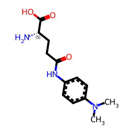 CN(C)c1ccc(NC(=O)CC[C@H](N)C(=O)O)cc1